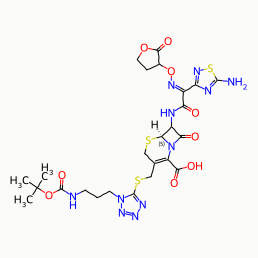 CC(C)(C)OC(=O)NCCCn1nnnc1SCC1=C(C(=O)O)N2C(=O)C(NC(=O)C(=NOC3CCOC3=O)c3nsc(N)n3)[C@@H]2SC1